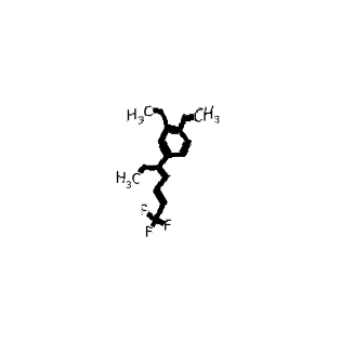 CCc1ccc(C(CC)CCCC(F)(F)F)cc1CC